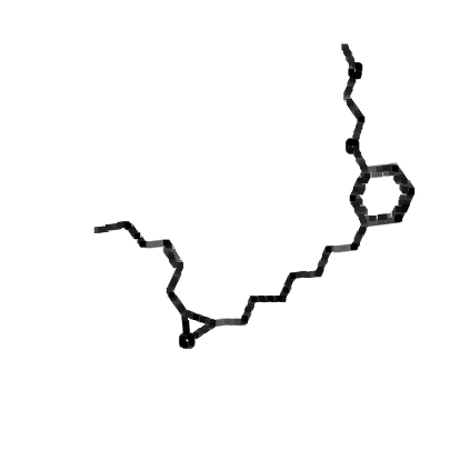 CCC/C=C\CC1OC1CCCCCCCc1cccc(OCCOC)c1